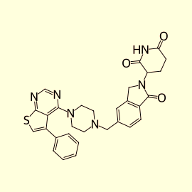 O=C1CCC(N2Cc3cc(CN4CCN(c5ncnc6scc(-c7ccccc7)c56)CC4)ccc3C2=O)C(=O)N1